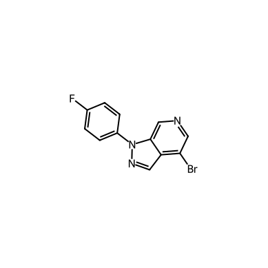 Fc1ccc(-n2ncc3c(Br)cncc32)cc1